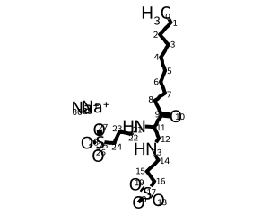 CCCCCCCCCC(=O)C(CNCCCS(=O)(=O)[O-])NCCCS(=O)(=O)[O-].[Na+].[Na+]